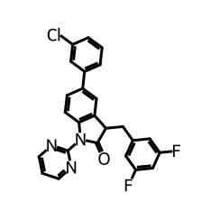 O=C1C(Cc2cc(F)cc(F)c2)c2cc(-c3cccc(Cl)c3)ccc2N1c1ncccn1